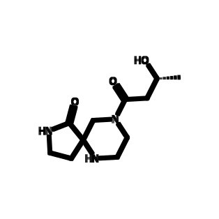 C[C@@H](O)CC(=O)N1CCNC2(CCNC2=O)C1